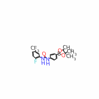 C=C1OB(c2ccc(NC(=O)Nc3cc(C(F)(F)F)ccc3F)cc2)OC1(C)C